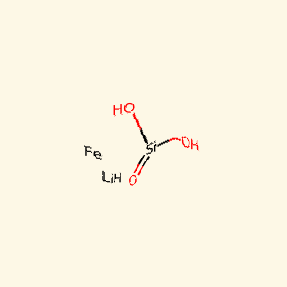 O=[Si](O)O.[Fe].[LiH]